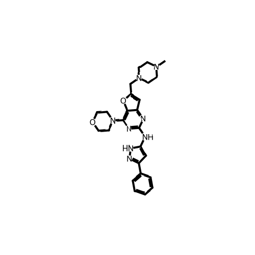 CN1CCN(Cc2cc3nc(Nc4cc(-c5ccccc5)n[nH]4)nc(N4CCOCC4)c3o2)CC1